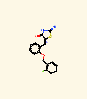 N=C1NC(=O)/C(=C\c2ccccc2OCC2=C(F)CCC=C2)S1